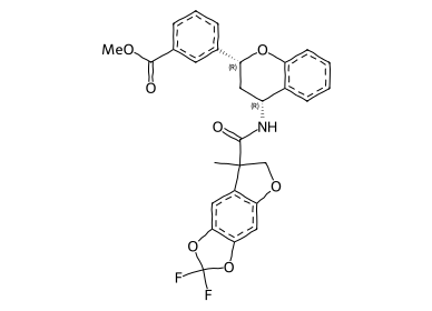 COC(=O)c1cccc([C@H]2C[C@@H](NC(=O)C3(C)COc4cc5c(cc43)OC(F)(F)O5)c3ccccc3O2)c1